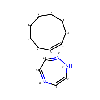 C1=CCCCCCCC1.C1=CNN=CC=N1